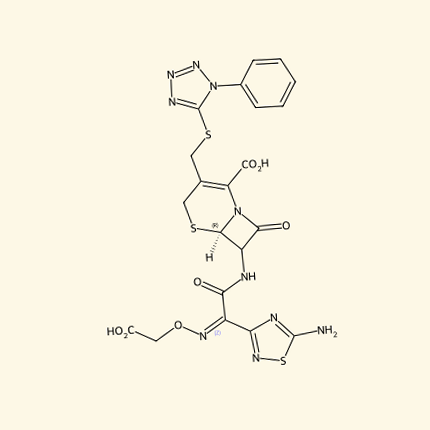 Nc1nc(/C(=N/OCC(=O)O)C(=O)NC2C(=O)N3C(C(=O)O)=C(CSc4nnnn4-c4ccccc4)CS[C@H]23)ns1